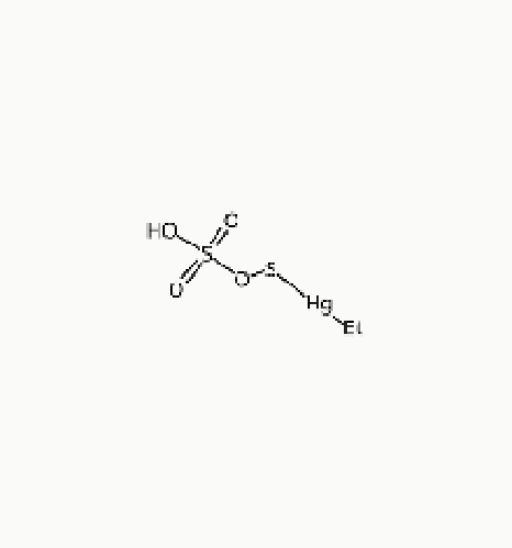 C[CH2][Hg][S]OS(=O)(=O)O